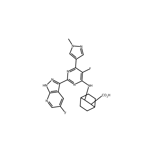 Cn1cc(-c2nc(-c3n[nH]c4ncc(F)cc34)nc(NC3C4CCC(CC4)C3C(=O)O)c2F)cn1